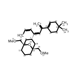 C=C(/C=C(\C=C/C)[C@H]1C[C@@]2(COC)CCC[C@@](COC)(C1)O2)C1=CCC(C)(C)CC1